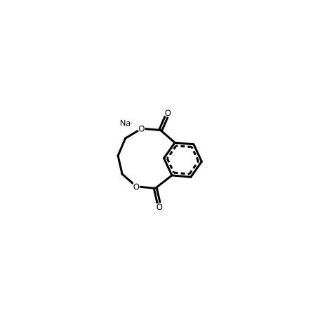 O=C1OCCCOC(=O)c2cccc1c2.[Na]